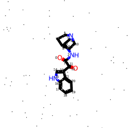 O=C(NC1CN2CCC1CC2)C(=O)c1c[nH]c2ccccc12